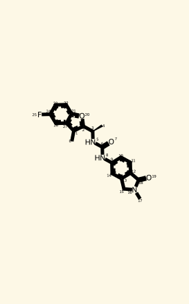 Cc1c([C@@H](C)NC(=O)Nc2ccc3c(c2)CN(C)C3=O)oc2ccc(F)cc12